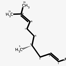 CC(=O)C=CC[C@H](C)CCC=C(C)C